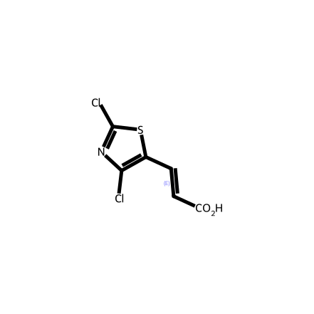 O=C(O)/C=C/c1sc(Cl)nc1Cl